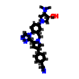 CN(C)C1CN(c2ccc3c(c2)Cn2cc(-c4ccc(C#N)cc4)cc2-c2nncn2-3)C[C@H]1O